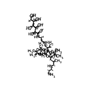 CC(CNCCN)C[Si](C)(O[Si](C)(C)C)O[Si](C)(CC(C)CNCCNC(=O)C(O)C(O)C(O)C(O)CO)O[Si](C)(C)O[Si](C)(C)C